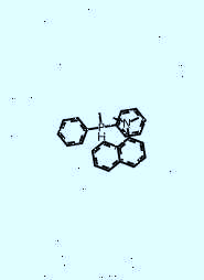 CN(C)c1cccc2cccc([PH](C)(c3ccccc3)c3ccccc3)c12